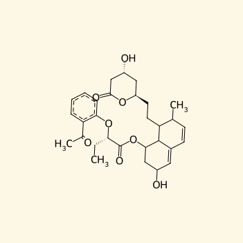 CC[C@H](Oc1ccccc1C(C)=O)C(=O)OC1CC(O)C=C2C=CC(C)C(CC[C@@H]3C[C@@H](O)CC(=O)O3)C21